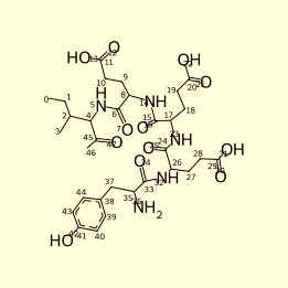 CCC(C)C(NC(=O)C(CCC(=O)O)NC(=O)C(CCC(=O)O)NC(=O)C(CCC(=O)O)NC(=O)C(N)Cc1ccc(O)cc1)C(C)=O